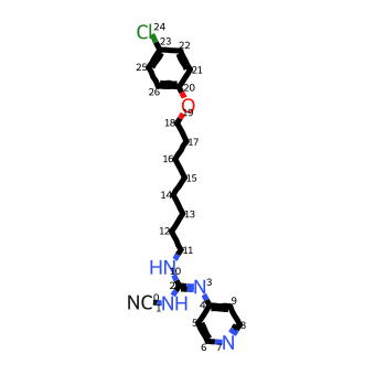 N#CN/C(=N\c1ccncc1)NCCCCCCCCOc1ccc(Cl)cc1